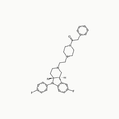 O=C(Cc1ccccc1)N1CCN(CCN2CC[C@@H]3[C@@H](C2)c2cc(F)ccc2N3c2ccc(F)cc2)CC1